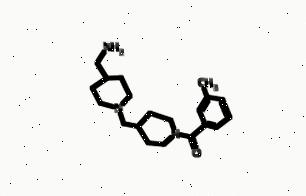 Cc1cccc(C(=O)N2CCC(CN3CCC(CN)CC3)CC2)c1